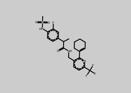 CC(C(=O)NCc1ccc(C(F)(F)F)nc1C1=CCCCC1)c1ccc(NS(C)(=O)=O)c(F)c1